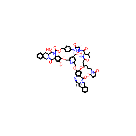 COc1cc2c(cc1OCc1cc(CO)cc(COc3cc4c(cc3OC)C(=O)N3Cc5ccccc5CC3C(O)N4C(=O)OCc3ccc(NC(=O)[C@H](C)NC(=O)[C@@H](NC(=O)CCCCCN4C(=O)C=CC4=O)C(C)C)cc3)n1)N=C[C@@H]1Cc3ccccc3CN1C2=O